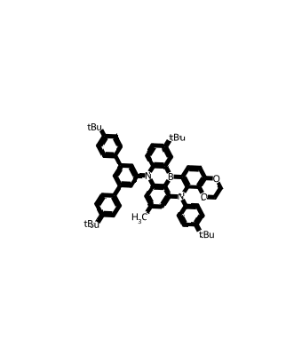 Cc1cc2c3c(c1)N(c1ccc(C(C)(C)C)cc1)c1c(ccc4c1OCCO4)B3c1cc(C(C)(C)C)ccc1N2c1cc(-c2ccc(C(C)(C)C)cc2)cc(-c2ccc(C(C)(C)C)cc2)c1